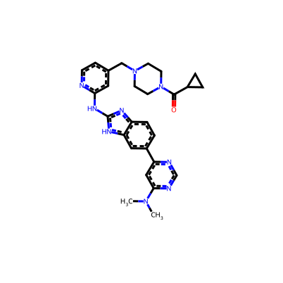 CN(C)c1cc(-c2ccc3nc(Nc4cc(CN5CCN(C(=O)C6CC6)CC5)ccn4)[nH]c3c2)ncn1